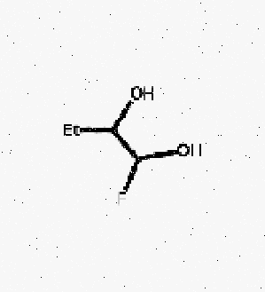 CCC(O)C(O)F